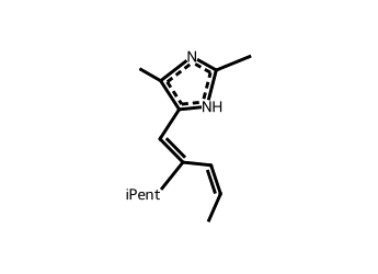 C/C=C\C(=C/c1[nH]c(C)nc1C)C(C)CCC